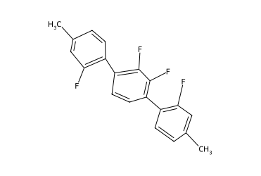 Cc1ccc(-c2ccc(-c3ccc(C)cc3F)c(F)c2F)c(F)c1